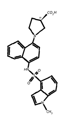 Cn1ccc2c(S(=O)(=O)Nc3ccc(N4CC[C@@H](C(=O)O)C4)c4ccccc34)cccc21